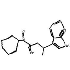 CC(CC(=N)C(=O)C1CCCCC1)c1c[nH]c2ncccc12